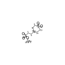 CCCOS(=O)(=O)CCN1CCS(=O)(=O)CC1